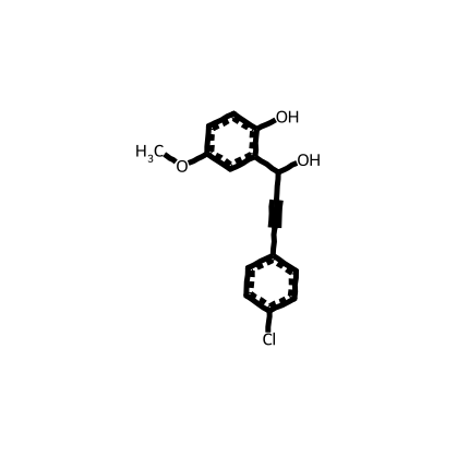 COc1ccc(O)c(C(O)C#Cc2ccc(Cl)cc2)c1